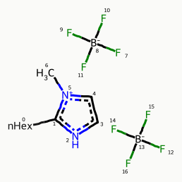 CCCCCCc1[nH]cc[n+]1C.F[B-](F)(F)F.F[B-](F)(F)F